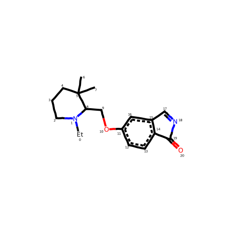 CCN1CCCC(C)(C)C1COc1ccc2c(c1)C=NC2=O